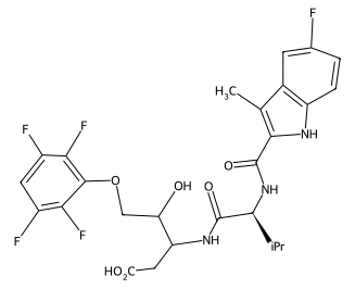 Cc1c(C(=O)N[C@H](C(=O)NC(CC(=O)O)C(O)COc2c(F)c(F)cc(F)c2F)C(C)C)[nH]c2ccc(F)cc12